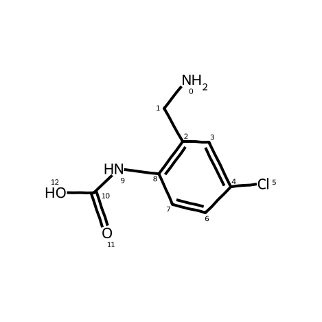 NCc1cc(Cl)ccc1NC(=O)O